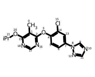 Cc1c(Oc2ccc(-n3cncn3)cc2Cl)ncnc1OC(C)C